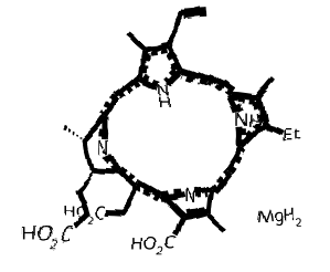 C=Cc1c(C)c2cc3nc(c(CC(=O)O)c4nc(cc5[nH]c(cc1[nH]2)c(C)c5CC)C(C)=C4C(=O)O)[C@@H](CCC(=O)O)[C@@H]3C.[MgH2]